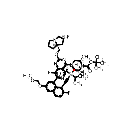 COCOc1cc(-c2ncc3c(N4C[C@@H](C)N(C(=O)OC(C)(C)C)[C@@H](C)C4)nc(OC[C@@]45CCCN4C[C@H](F)C5)nc3c2F)c2c(C#C[Si](C(C)C)(C(C)C)C(C)C)c(F)ccc2c1